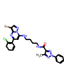 Cc1nn(-c2ccccc2)nc1C(=O)NCCCCNc1cc(C2=C(Cl)CCC=C2)nc2c(Br)cnn12